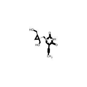 CC#Cc1cn(C[C@]2(CO)C[C@H]2CO)c(=O)[nH]c1=O